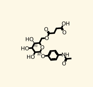 CC(=O)Nc1ccc(O[C@H]2OC(COC(=O)CCC(=O)O)[C@@H](O)C(O)C2O)cc1